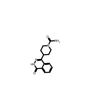 NC(=O)N1CCC(c2n[nH]c(=O)c3ccccc23)CC1